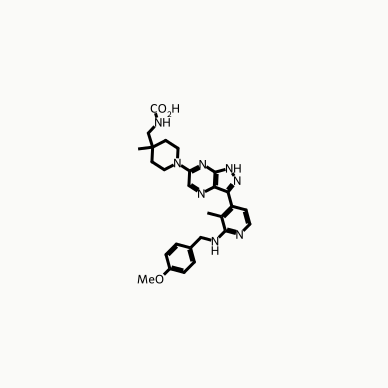 COc1ccc(CNc2nccc(-c3n[nH]c4nc(N5CCC(C)(CNC(=O)O)CC5)cnc34)c2C)cc1